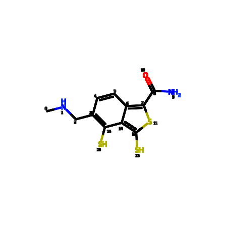 CNCc1ccc2c(C(N)=O)sc(S)c2c1S